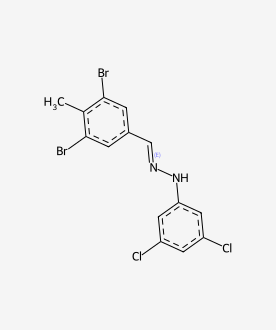 Cc1c(Br)cc(/C=N/Nc2cc(Cl)cc(Cl)c2)cc1Br